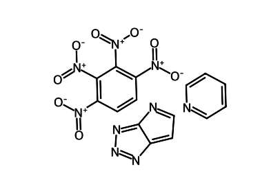 C1=NC2=NN=NC2=C1.O=[N+]([O-])c1ccc([N+](=O)[O-])c([N+](=O)[O-])c1[N+](=O)[O-].c1ccncc1